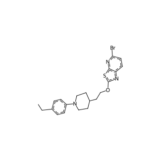 CCc1ccc(N2CCC(CCOc3nc4ccc(Br)nc4s3)CC2)cc1